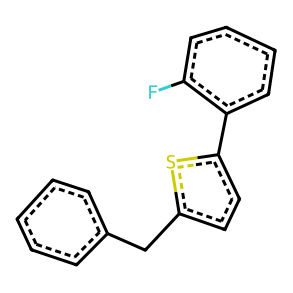 Fc1ccccc1-c1ccc(Cc2ccccc2)s1